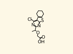 CC(OCC(=O)O)c1nc(Cl)c2c3c(sc2n1)CCCC3